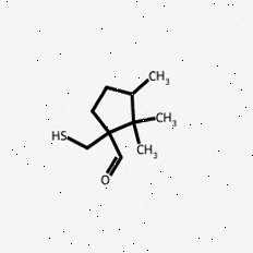 CC1CCC(C=O)(CS)C1(C)C